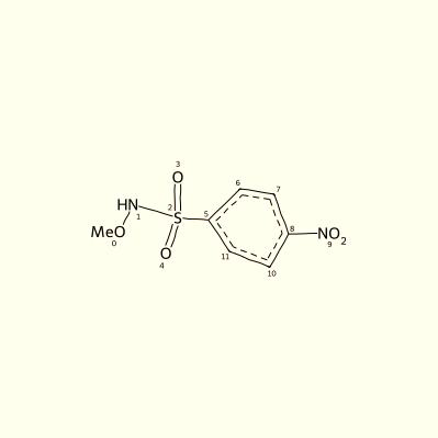 CONS(=O)(=O)c1ccc([N+](=O)[O-])cc1